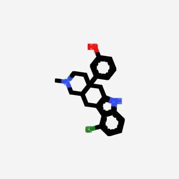 CN1CCC2(c3cccc(O)c3)Cc3[nH]c4cccc(Cl)c4c3CC2C1